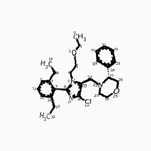 CCOCCn1c(-c2c(CC)cccc2CC)nc(Cl)c1CN1CCOC[C@H]1c1ccccc1